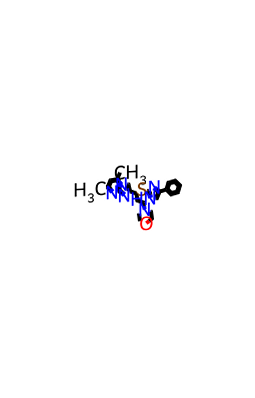 Cc1cc(C)n2cc(C(CCN3CCOCC3)Sc3nc(-c4ccccc4)c[nH]3)nc2n1